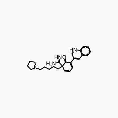 N=C(N)C1(CCCCCN2CCCC2)C=CC=C(C2=Cc3ccccc3NC2)C1=O